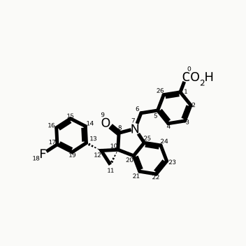 O=C(O)c1cccc(CN2C(=O)[C@@]3(C[C@@H]3c3cccc(F)c3)c3ccccc32)c1